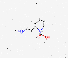 NCCC1CCCCN1C(=O)O